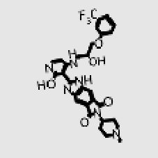 CN1CCC(N2C(=O)c3cc4nc(-c5c(NC[C@@H](O)COc6cccc(C(F)(F)F)c6)ccnc5O)[nH]c4cc3C2=O)CC1